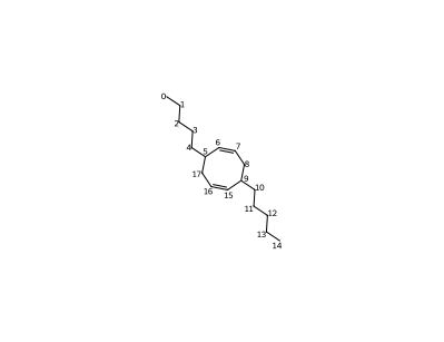 CCCCCC1/C=C\CC(CCCCC)/C=C\C1